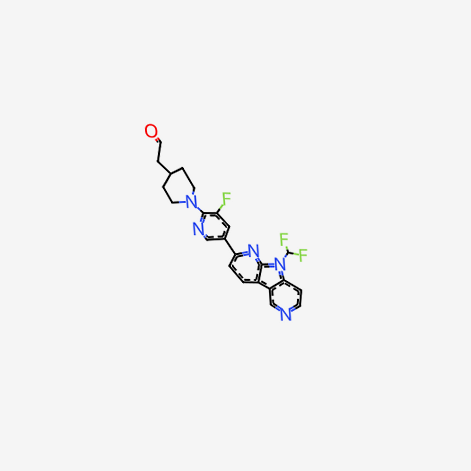 O=CCC1CCN(c2ncc(-c3ccc4c5cnccc5n(C(F)F)c4n3)cc2F)CC1